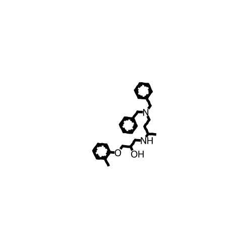 Cc1ccccc1OCC(O)CNC(C)CCN(Cc1ccccc1)Cc1ccccc1